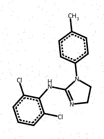 Cc1ccc(N2CCN=C2Nc2c(Cl)cccc2Cl)cc1